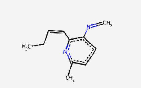 C=Nc1ccc(C)nc1/C=C\CC